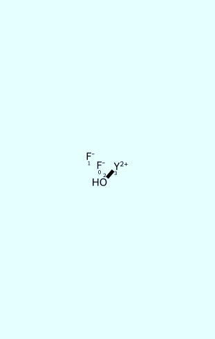 [F-].[F-].[OH][Y+2]